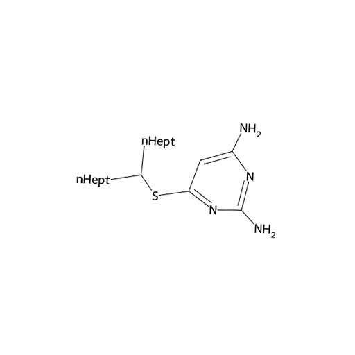 CCCCCCCC(CCCCCCC)Sc1cc(N)nc(N)n1